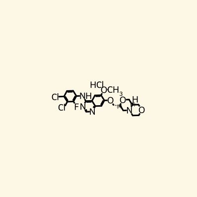 COc1cc2c(Nc3ccc(Cl)c(Cl)c3F)ncnc2cc1OC[C@H]1CN2CCOC[C@H]2CO1.Cl